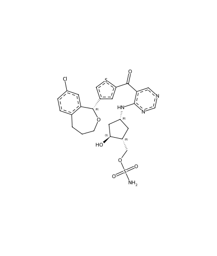 NS(=O)(=O)OC[C@H]1C[C@@H](Nc2ncncc2C(=O)c2cc([C@@H]3OCCCc4ccc(Cl)cc43)cs2)C[C@@H]1O